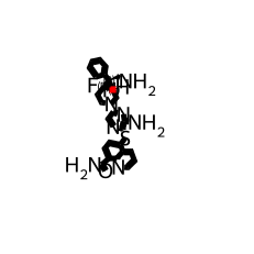 NC[C@]1(c2ccccc2F)[C@@H]2CCN(c3cnc(Sc4ccc(C(N)=O)c5ncccc45)c(N)n3)C[C@@H]21